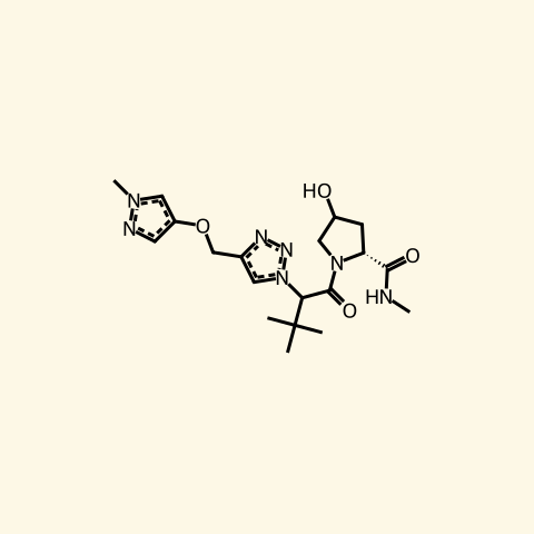 CNC(=O)[C@H]1CC(O)CN1C(=O)C(n1cc(COc2cnn(C)c2)nn1)C(C)(C)C